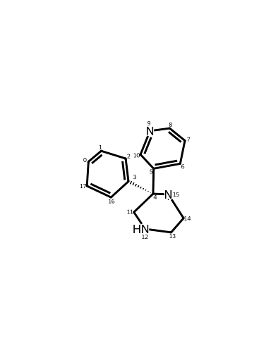 c1ccc([C@@]2(c3cccnc3)CNCC[N]2)cc1